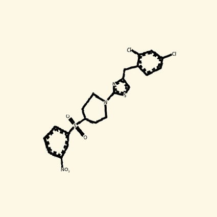 O=[N+]([O-])c1cccc(S(=O)(=O)C2CCN(c3nc(Cc4ccc(Cl)cc4Cl)cs3)CC2)c1